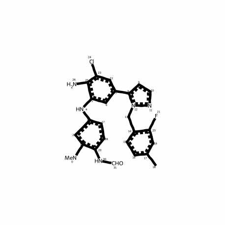 CNc1cc(Nc2cc(-c3ccnn3Cc3ccc(C)cc3F)cc(Cl)c2N)ccc1NC=O